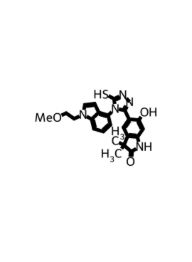 COCCn1ccc2c(-n3c(S)nnc3-c3cc4c(cc3O)NC(=O)C4(C)C)cccc21